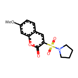 COc1ccc2cc(S(=O)(=O)N3CCCC3)c(=O)oc2c1